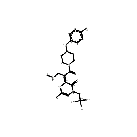 CNC/C(C(=O)N1CCC(Oc2ccc(Cl)cc2)CC1)=C1\NC(C)=CN(CC(F)(F)F)C1=O